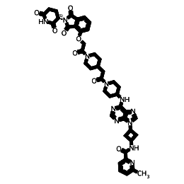 Cc1cccc(C(=O)NC2CC(n3cnc4c(NC5CCN(C(=O)CC6CCN(C(=O)COc7cccc8c7C(=O)N([C@H]7CCC(=O)NC7=O)C8=O)CC6)CC5)ncnc43)C2)n1